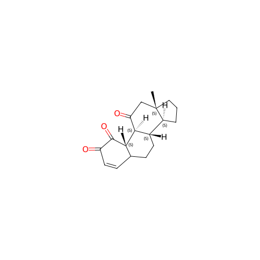 C[C@@]12CCC[C@H]1[C@@H]1CCC3C=CC(=O)C(=O)[C@@H]3[C@H]1C(=O)C2